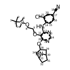 CC(C)(C)[Si](C)(C)OCCOc1c(Nc2ccc(C#N)cc2Cl)ncnc1OC1CC2CCC(C1)N2